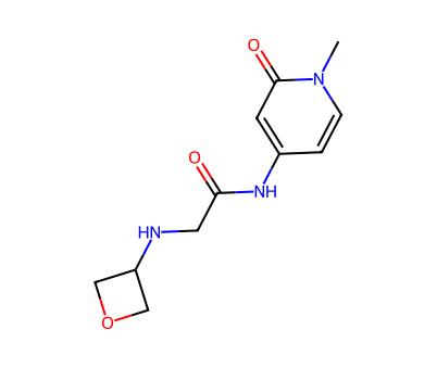 Cn1ccc(NC(=O)CNC2COC2)cc1=O